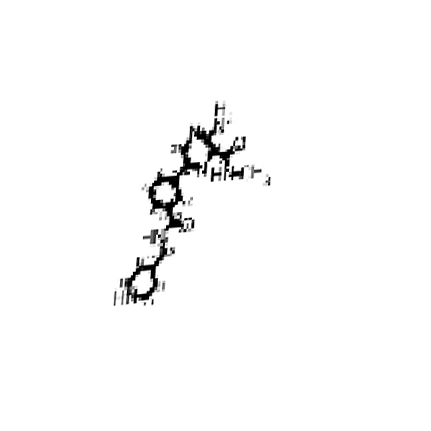 CNC(=O)c1nc(-c2cccc(C(=O)NCC3CCNCC3)c2)cnc1N